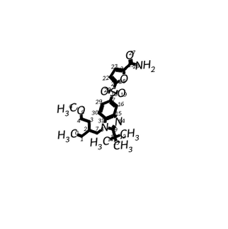 CCC(CCOC)Cn1c(C(C)(C)C)nc2cc(S(=O)(=O)c3ccc(C(N)=O)o3)ccc21